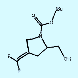 CC(C)(C)OC(=O)N1CC(=C(F)F)CC1CO